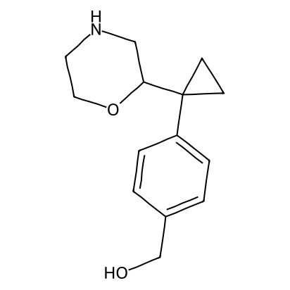 OCc1ccc(C2(C3CNCCO3)CC2)cc1